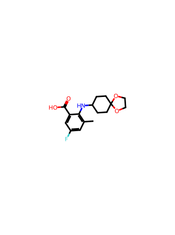 Cc1cc(F)cc(C(=O)O)c1NC1CCC2(CC1)OCCO2